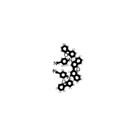 N#Cc1ccc(N(c2cc3c4cc(N(c5ccc(C#N)cc5)c5cccc6c5oc5ccccc56)c5ccccc5c4oc3c3ccccc23)c2cccc3c2oc2ccccc23)cc1